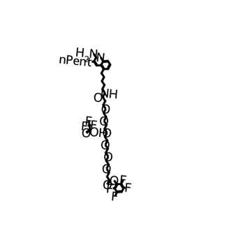 CCCCCc1cc2c(CCCCCNC(=O)CCOCCOCCOCCOCCOCCOCCC(=O)Oc3c(F)c(F)cc(F)c3F)cccc2nc1N.O=C(O)C(F)(F)F